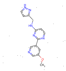 COc1cncc(-c2nccc(NCc3cc[nH]n3)n2)c1